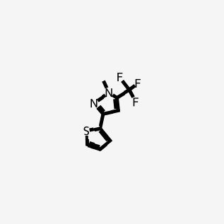 Cn1nc(-c2cccs2)cc1C(F)(F)F